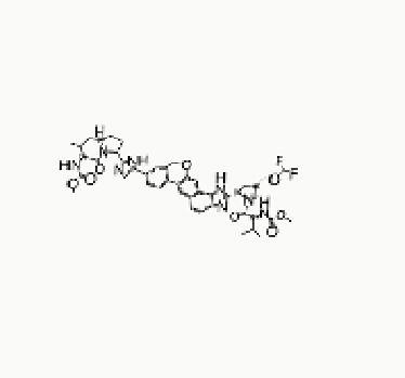 COC(=O)N[C@H](C(=O)N1C[C@@H](COC(F)F)C[C@H]1c1nc2ccc3cc4c(cc3c2[nH]1)OCc1cc(-c2cnc(C3CC[C@@H]5CC(C)[C@H](NC(=O)OC)C(=O)N35)[nH]2)ccc1-4)C(C)C